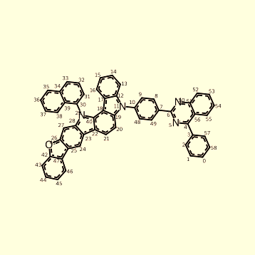 c1ccc(-c2nc(-c3ccc(-n4c5ccccc5c5c4ccc4c6cc7c(cc6n(-c6cccc8ccccc68)c45)oc4ccccc47)cc3)nc3ccccc23)cc1